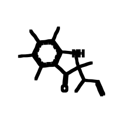 C=CC(C)C1(C)Nc2c(C)c(C)c(C)c(C)c2C1=O